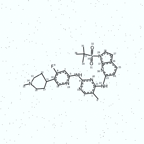 Cc1cnc(Nc2cc(F)c(C3CCN(C)CC3)cn2)nc1Nc1ccc2ccn(S(=O)(=O)C(C)(C)C)c2n1